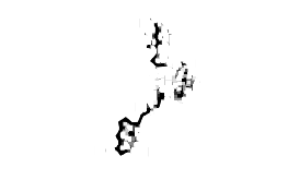 CC1=CC(C)=[N+]2C1=Cc1ccc(CCC(=O)NCC(C)(C)SSCOC3C[C@H](n4cnc5c(N)ncnc54)O[C@@H]3COP(=O)(O)OP(=O)(O)OP(=O)(O)O)n1[B-]2(F)F